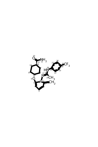 C=C1C=CC=C(O[C@H]2CC[C@H](C(N)=O)CC2)N1/N=C(\C)Nc1ccc(C(F)(F)F)cc1